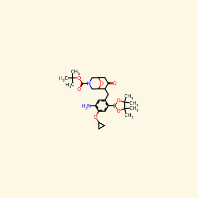 CC(C)(C)OC(=O)N1CC2CC(=O)C(Cc3cc(N)c(OC4CC4)cc3B3OC(C)(C)C(C)(C)O3)C(C1)O2